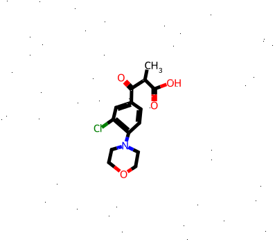 CC(C(=O)O)C(=O)c1ccc(N2CCOCC2)c(Cl)c1